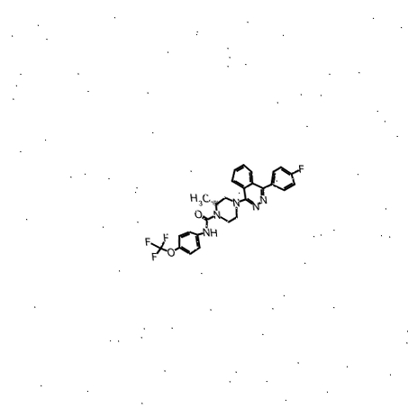 C[C@@H]1CN(c2nnc(-c3ccc(F)cc3)c3ccccc23)CCN1C(=O)Nc1ccc(OC(F)(F)F)cc1